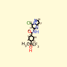 CC(O)(c1ccc(C(=O)Nc2cc(Cl)n3nccc3n2)cc1)C(F)(F)F